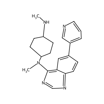 CNC1CCC(N(C)c2ncnc3ccc(-c4cccnc4)cc23)CC1